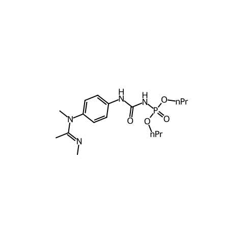 CCCOP(=O)(NC(=O)Nc1ccc(N(C)C(C)=NC)cc1)OCCC